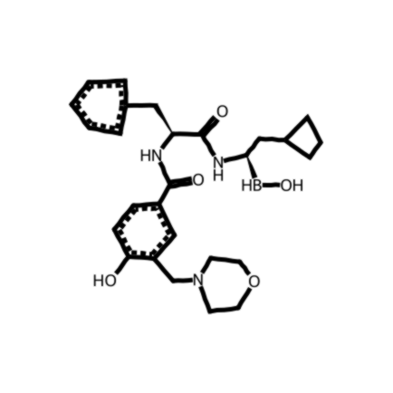 O=C(N[C@@H](Cc1ccccc1)C(=O)N[C@H](BO)CC1CCC1)c1ccc(O)c(CN2CCOCC2)c1